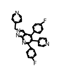 Fc1ccc(-c2nc3nn(Cc4ccncc4)cc3c(-c3ccc(F)cc3)c2-c2ccncc2)cc1